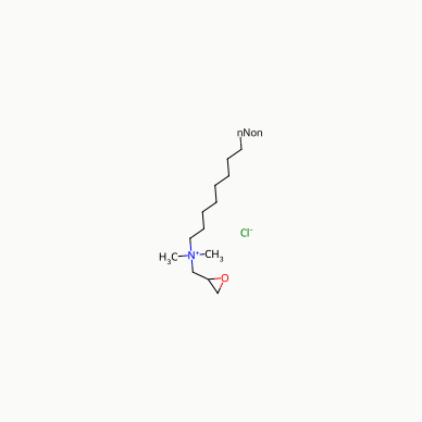 CCCCCCCCCCCCCCCCC[N+](C)(C)CC1CO1.[Cl-]